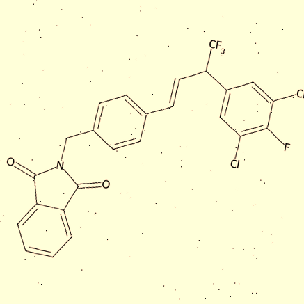 O=C1c2ccccc2C(=O)N1Cc1ccc(/C=C/C(c2cc(Cl)c(F)c(Cl)c2)C(F)(F)F)cc1